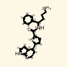 NCCCC(NC(=O)c1ccc(-c2ccnc3[nH]ccc23)s1)c1ccccc1